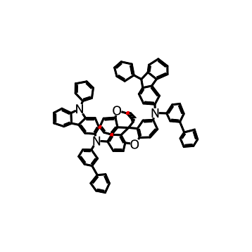 c1ccc(-c2cccc(N(c3ccc4c(c3)-c3ccccc3C4c3ccccc3)c3ccc4c(c3)C3(c5ccccc5Oc5ccccc53)c3cc(N(c5cccc(-c6ccccc6)c5)c5ccc6c(c5)c5ccccc5n6-c5ccccc5)ccc3O4)c2)cc1